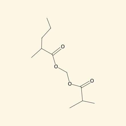 CCCC(C)C(=O)OCOC(=O)C(C)C